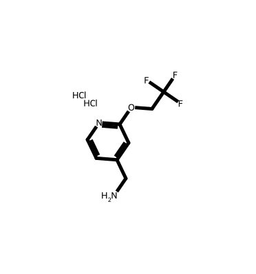 Cl.Cl.NCc1ccnc(OCC(F)(F)F)c1